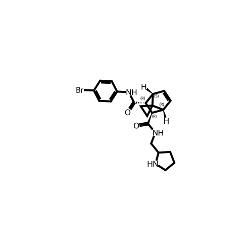 O=C(NCC1CCCN1)[C@H]1[C@H](C(=O)Nc2ccc(Br)cc2)[C@@H]2C=C[C@H]1C21CC1